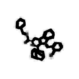 O=C(OCc1ccccc1)[C@@H]1Cc2c(n(Cc3ccccc3Cl)c3ccccc23)[C@@H](C23CC4CC(CC(C4)C2)C3)N1